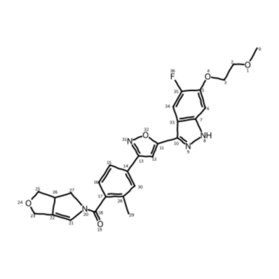 COCCOc1cc2[nH]nc(-c3cc(-c4ccc(C(=O)N5C=C6COCC6C5)c(C)c4)no3)c2cc1F